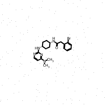 CN(C)c1ccnc(N[C@H]2CC[C@@H](NC(=O)Cc3ccccc3Br)CC2)n1